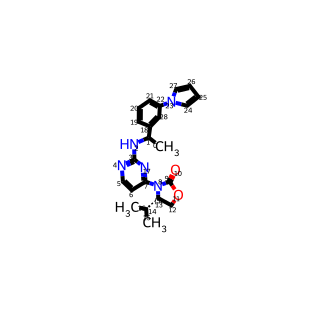 CC(Nc1nccc(N2C(=O)OC[C@@H]2C(C)C)n1)c1cccc(-n2cccc2)c1